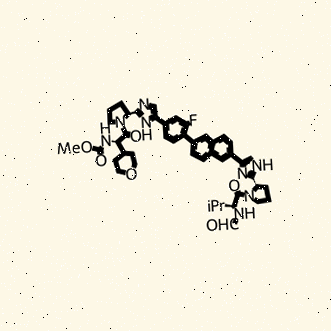 COC(=O)N[C@H](C(=O)N1CCC[C@H]1c1ncc(-c2ccc(-c3ccc4cc(-c5c[nH]c([C@@H]6CCCN6C(=O)[C@@H](NC=O)C(C)C)n5)ccc4c3)c(F)c2)[nH]1)C1CCOCC1